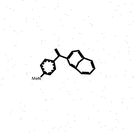 C=C(C1=CC=C2C=CC=CC(=C1)C2)c1ccc(NC)cc1